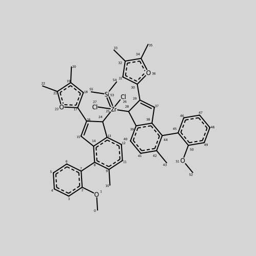 COc1ccccc1-c1c(C)ccc2c1C=C(c1cc(C)c(C)o1)[CH]2[Zr]([Cl])([Cl])([CH]1C(c2cc(C)c(C)o2)=Cc2c1ccc(C)c2-c1ccccc1OC)=[Si](C)C